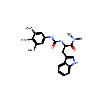 CCN(C#N)C(=O)C(Cc1c[nH]c2ccccc12)NC(=O)Nc1cc(OC)c(OC)c(OC)c1